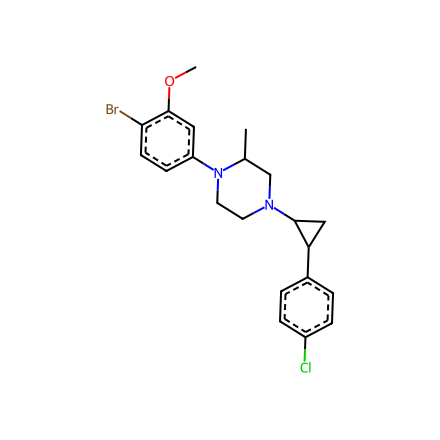 COc1cc(N2CCN(C3CC3c3ccc(Cl)cc3)CC2C)ccc1Br